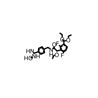 CCOC(OCC)c1ccc(F)c([C@H](OCC)C(=O)NCc2ccc(C(=N)NO)cc2)c1F